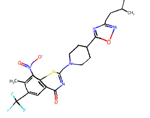 Cc1c(C(F)(F)F)cc2c(=O)nc(N3CCC(c4nc(CC(C)C)no4)CC3)sc2c1[N+](=O)[O-]